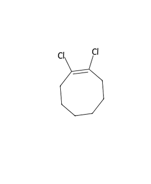 Cl/C1=C(\Cl)CCCCCC1